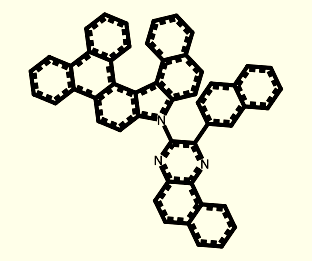 c1ccc2cc(-c3nc4c(ccc5ccccc54)nc3-n3c4ccc5ccccc5c4c4c5c6ccccc6c6ccccc6c5ccc43)ccc2c1